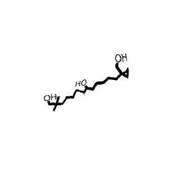 CC(C)(CO)CCCCCC(O)CCCCCC1(CO)CC1